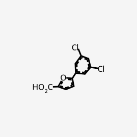 O=C(O)c1ccc(-c2cc(Cl)cc(Cl)c2)o1